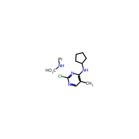 CC(C)NC(=O)O.Cc1cnc(Cl)nc1NC1CCCC1